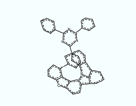 c1ccc(-c2nc(-c3ccccc3)nc(-c3cccc(-c4cccc5oc6ccc7c8cccc9c%10ccccc%10n(c98)c7c6c45)c3)n2)cc1